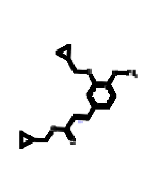 COc1ccc(/C=C/C(=O)OCC2CC2)cc1OCC1CC1